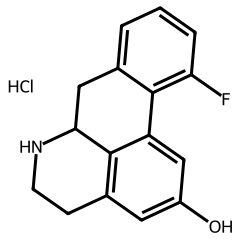 Cl.Oc1cc2c3c(c1)-c1c(F)cccc1CC3NCC2